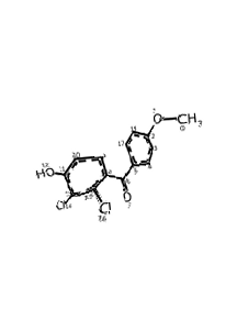 COc1ccc(C(=O)c2ccc(O)c(Cl)c2Cl)cc1